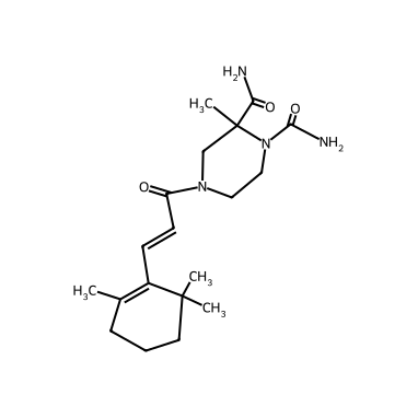 CC1=C(C=CC(=O)N2CCN(C(N)=O)C(C)(C(N)=O)C2)C(C)(C)CCC1